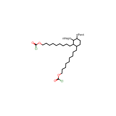 CCCCCCCC1C(CCCCC)CCC(CCCCCCCCCOC(=O)Cl)C1CCCCCCCCCOC(=O)Cl